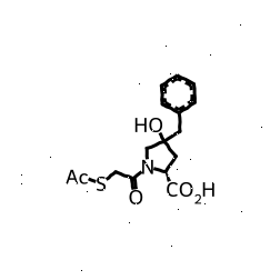 CC(=O)SCC(=O)N1CC(O)(Cc2ccccc2)C[C@H]1C(=O)O